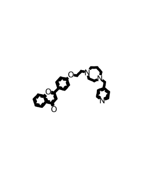 O=c1cc(-c2ccc(OCCN3CCCN(Cc4ccncc4)CC3)cc2)oc2ccccc12